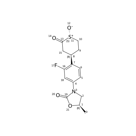 [CH2][C@@H]1CN(c2ccc([C@@H]3CC[S@@+]([O-])C(=O)C3)c(F)c2)C(=O)O1